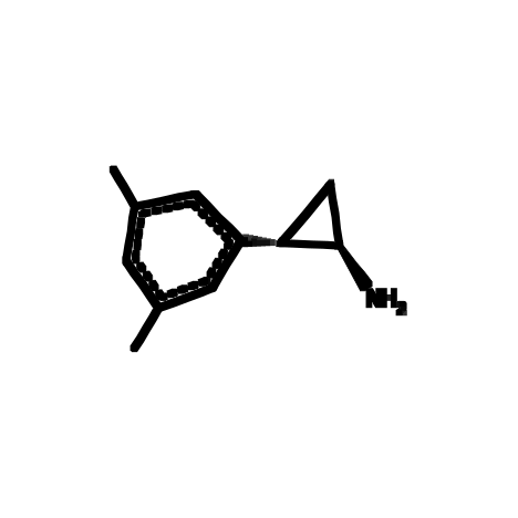 Cc1cc(C)cc([C@@H]2C[C@H]2N)c1